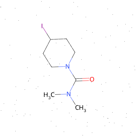 CN(C)C(=O)N1CCC(I)CC1